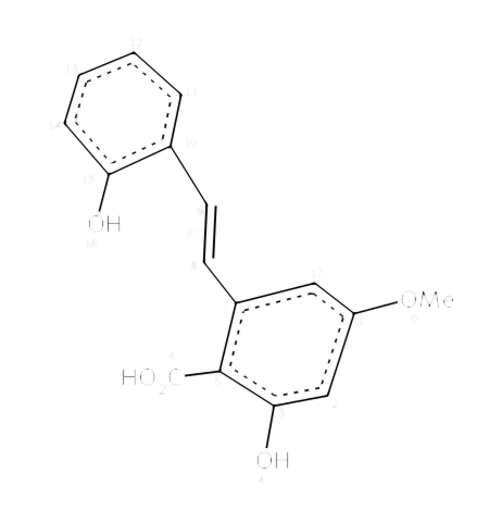 COc1cc(O)c(C(=O)O)c(/C=C/c2ccccc2O)c1